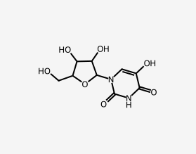 O=c1[nH]c(=O)n(C2OC(CO)C(O)C2O)cc1O